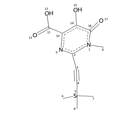 Cn1c(C#C[Si](C)(C)C)nc(C(=O)O)c(O)c1=O